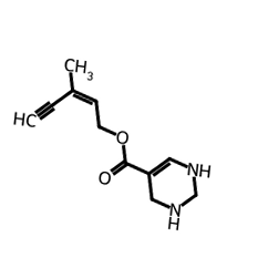 C#CC(C)=CCOC(=O)C1=CNCNC1